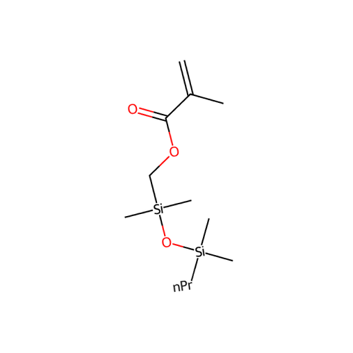 C=C(C)C(=O)OC[Si](C)(C)O[Si](C)(C)CCC